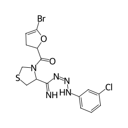 N=C(/N=N\Nc1cccc(Cl)c1)C1CSCN1C(=O)C1CC=C(Br)O1